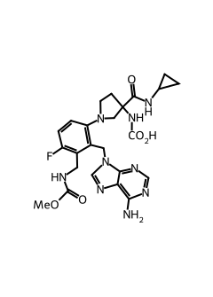 COC(=O)NCc1c(F)ccc(N2CCC(NC(=O)O)(C(=O)NC3CC3)C2)c1Cn1cnc2c(N)ncnc21